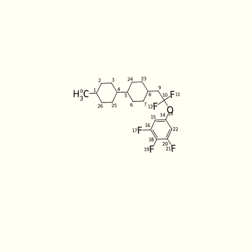 CC1CCC(C2CCC(CC(F)(F)Oc3cc(F)c(F)c(F)c3)CC2)CC1